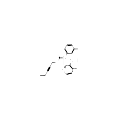 Cc1ccncc1N.O=C(Nc1cccc(Cl)c1)OCC#CCCl